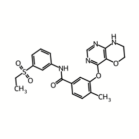 CCS(=O)(=O)c1cccc(NC(=O)c2ccc(C)c(Oc3ncnc4c3OCCN4)c2)c1